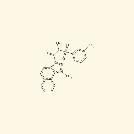 Cn1nc(C(=O)C(C#N)S(=O)(=O)c2cccc(C(F)(F)F)c2)c2ccc3ccccc3c21